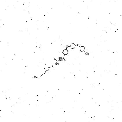 CCCCCCCCCCCCCCCCCCNC(=O)NNC(=O)c1ccc(Oc2ccc(Oc3ccc(O)cc3)cc2)cc1